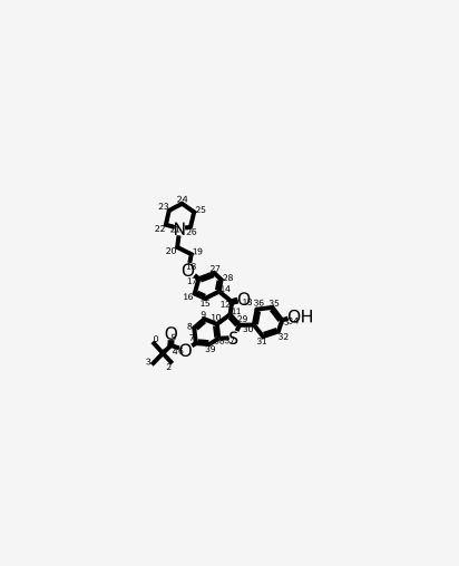 CC(C)(C)C(=O)Oc1ccc2c(C(=O)c3ccc(OCCN4CCCCC4)cc3)c(-c3ccc(O)cc3)sc2c1